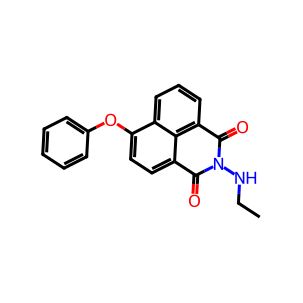 CCNN1C(=O)c2cccc3c(Oc4ccccc4)ccc(c23)C1=O